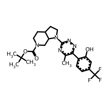 Cc1nc(N2CCC3CCN(C(=O)OC(C)(C)C)CC32)nnc1-c1ccc(C(F)(F)F)cc1O